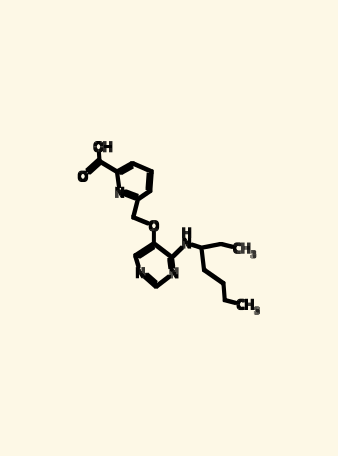 CCCCC(CC)Nc1ncncc1OCc1cccc(C(=O)O)n1